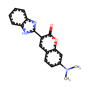 CN(C)c1ccc2cc(-c3nc4ccccc4[nH]3)c(=O)oc2c1